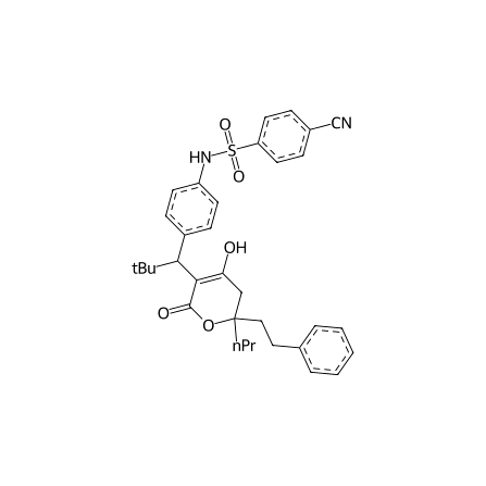 CCCC1(CCc2ccccc2)CC(O)=C(C(c2ccc(NS(=O)(=O)c3ccc(C#N)cc3)cc2)C(C)(C)C)C(=O)O1